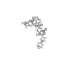 NC(=O)c1cccc(S(=O)(=O)c2ccc(NC[C@H]3CCN(C4CCOCC4)C3)c([N+](=O)[O-])c2)c1Oc1cnc2[nH]ccc2c1